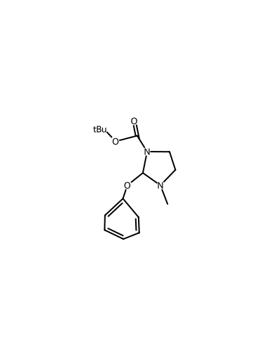 CN1CCN(C(=O)OC(C)(C)C)C1Oc1ccccc1